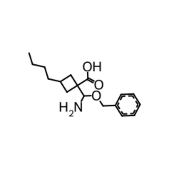 CCCCC1CC(C(=O)O)(C(N)OCc2ccccc2)C1